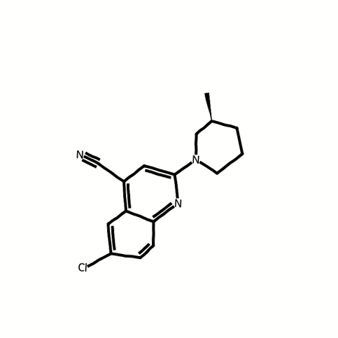 C[C@H]1CCCN(c2cc(C#N)c3cc(Cl)ccc3n2)C1